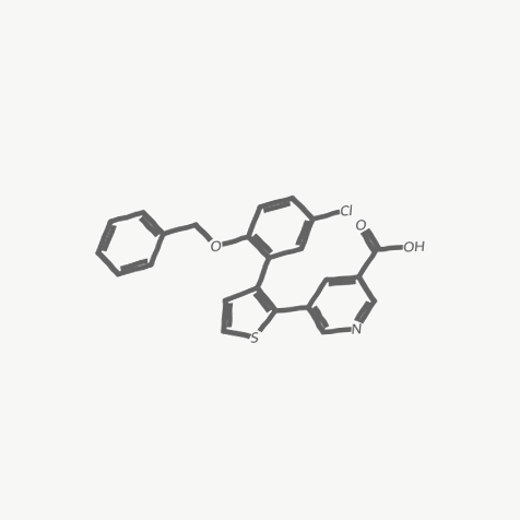 O=C(O)c1cncc(-c2sccc2-c2cc(Cl)ccc2OCc2ccccc2)c1